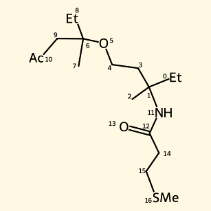 CCC(C)(CCOC(C)(CC)CC(C)=O)NC(=O)CCSC